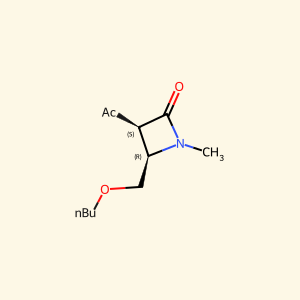 CCCCOC[C@H]1[C@@H](C(C)=O)C(=O)N1C